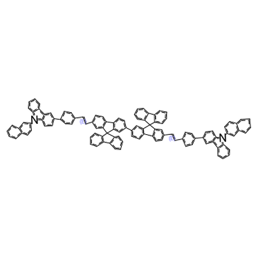 C(=C\c1ccc2c(c1)C1(c3ccccc3-c3ccccc31)c1cc(-c3ccc4c(c3)C3(c5ccccc5-c5ccccc53)c3cc(/C=C/c5ccc(-c6ccc7c(c6)c6ccccc6n7-c6ccc7ccccc7c6)cc5)ccc3-4)ccc1-2)/c1ccc(-c2ccc3c(c2)c2ccccc2n3-c2ccc3ccccc3c2)cc1